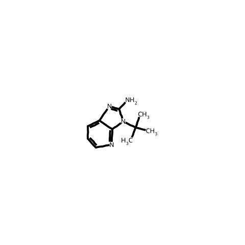 CC(C)(C)n1c(N)nc2cccnc21